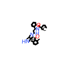 Cc1cccc(C)c1C(=O)[C@@H]1[C@@H]2CNCC2CN1CCC(NC(=O)c1ccccc1)c1ccccc1